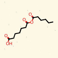 CCCCCC(=O)OC(=O)CCCCCC(=O)O